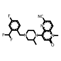 CC1CN(Cc2ccc(F)cc2C(F)F)CCN1c1cc(=O)n(C)c2ccc(C#N)nc12